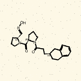 O=C([C@H]1CCCN1C(=O)CC[C@@H]1CCc2ccccc2C1)N1CCC[C@H]1C=NO